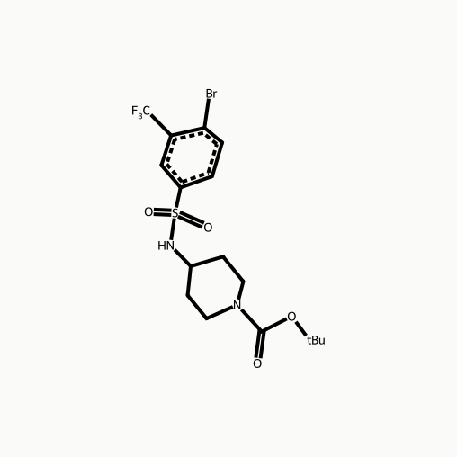 CC(C)(C)OC(=O)N1CCC(NS(=O)(=O)c2ccc(Br)c(C(F)(F)F)c2)CC1